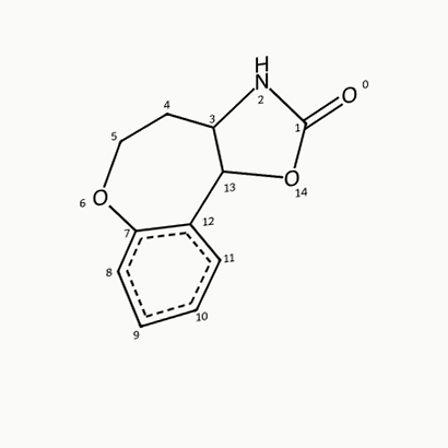 O=C1NC2CCOc3ccccc3C2O1